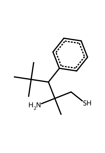 CC(C)(C)C(c1ccccc1)C(C)(N)CS